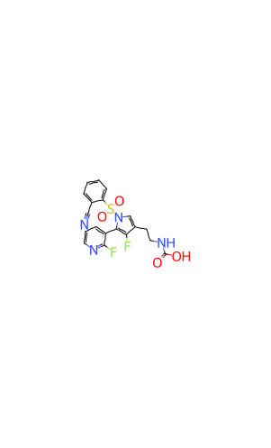 N#Cc1ccccc1S(=O)(=O)n1cc(CCNC(=O)O)c(F)c1-c1cccnc1F